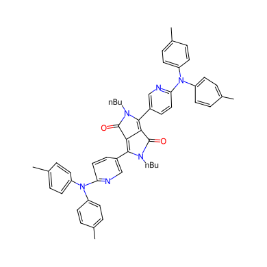 CCCCN1C(=O)C2=C(c3ccc(N(c4ccc(C)cc4)c4ccc(C)cc4)nc3)N(CCCC)C(=O)C2=C1c1ccc(N(c2ccc(C)cc2)c2ccc(C)cc2)nc1